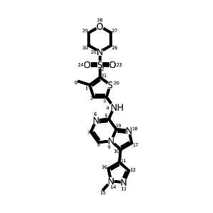 Cc1cc(Nc2nccn3c(-c4cnn(C)c4)cnc23)sc1S(=O)(=O)N1CCOCC1